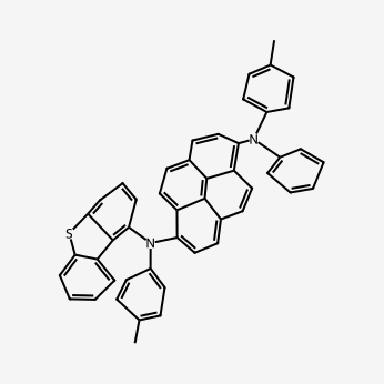 Cc1ccc(N(c2ccccc2)c2ccc3ccc4c(N(c5ccc(C)cc5)c5cccc6sc7ccccc7c56)ccc5ccc2c3c54)cc1